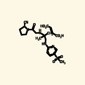 CC(C)(CNc1ccc(S(C)(=O)=O)cn1)NCC(=O)N1CCC[C@H]1C#N.O=C(O)/C=C/C(=O)O